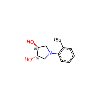 CC(C)(C)c1ccccc1N1C[C@H](O)[C@@H](O)C1